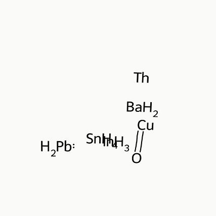 [BaH2].[InH3].[O]=[Cu].[PbH2].[SnH4].[Th]